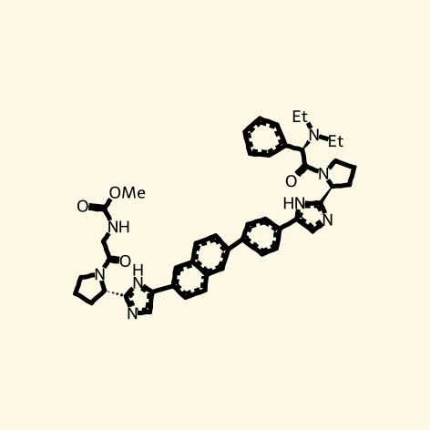 CCN(CC)[C@@H](C(=O)N1CCC[C@H]1c1ncc(-c2ccc(-c3ccc4cc(-c5cnc([C@@H]6CCCN6C(=O)CNC(=O)OC)[nH]5)ccc4c3)cc2)[nH]1)c1ccccc1